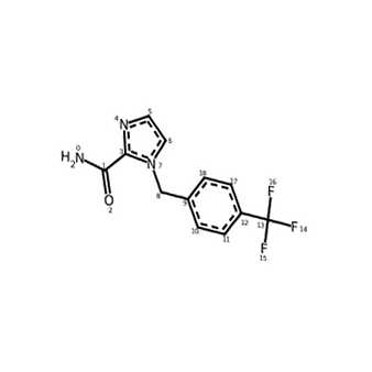 NC(=O)c1nccn1Cc1ccc(C(F)(F)F)cc1